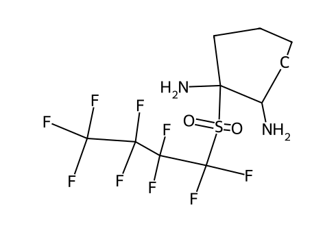 NC1CCCCC1(N)S(=O)(=O)C(F)(F)C(F)(F)C(F)(F)C(F)(F)F